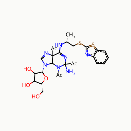 CC(=O)N1C2N([C@@H]3O[C@H](CO)C(O)C3O)C=NC2(C(C)=O)C(N[C@H](C)CSc2nc3ccccc3s2)=NC1(N)C(C)=O